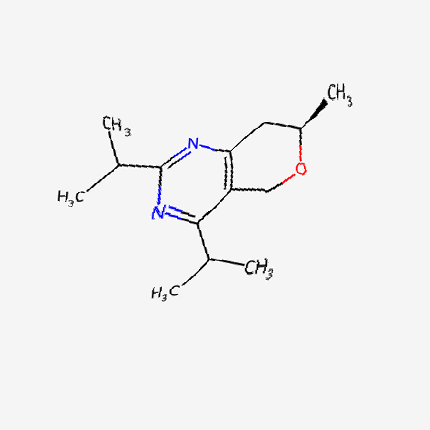 CC(C)c1nc2c(c(C(C)C)n1)CO[C@H](C)C2